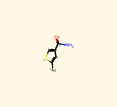 CC(=O)c1cc(C(N)=O)cs1